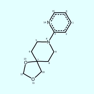 [c]1ccc(N2CCC3(CC2)COCO3)nc1